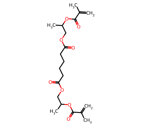 C=C(C)C(=O)OC(C)COC(=O)CCCCC(=O)OCC(C)OC(=O)C(=C)C